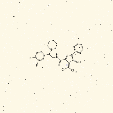 C/C(Cl)=C1\C(=N)N(c2ncccn2)C=C1C(=O)NCC(c1ccc(F)c(F)c1)N1CCCCC1